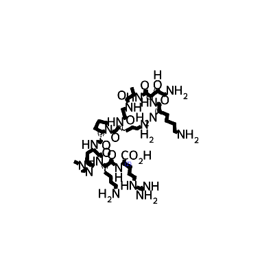 CC(NC(=O)[C@@H](NC(=O)[C@@H](N)CCCCN)[C@@H](O)CN)C(=O)NCC(=O)N[C@H](CCCN)C(=O)N1CCC[C@H]1C(=O)NC(Cc1cncn1C)C(=O)N[C@@H](CCCCN)C(=O)N/C(=C\CCNC(=N)N)C(=O)O